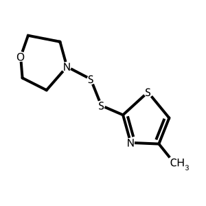 Cc1csc(SSN2CCOCC2)n1